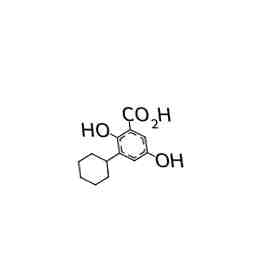 O=C(O)c1cc(O)cc(C2CCCCC2)c1O